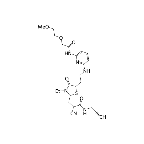 C#CCNC(=O)C(C#N)CC1SC(CCNc2cccc(NC(=O)COCCOC)n2)C(=O)N1CC